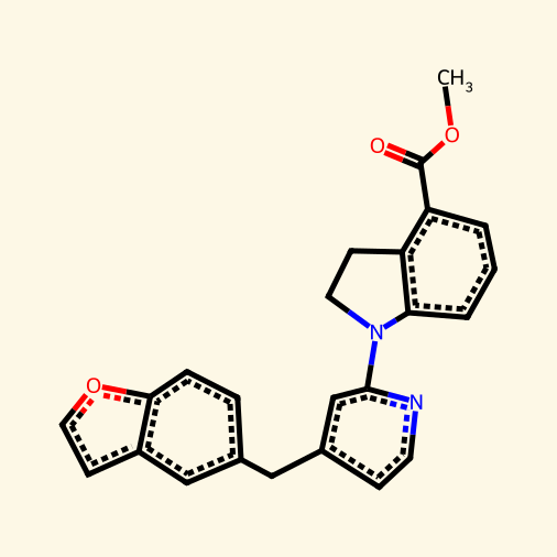 COC(=O)c1cccc2c1CCN2c1cc(Cc2ccc3occc3c2)ccn1